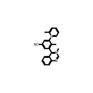 Cc1c(-c2c3ccccc3nc[n+]2C)cc(C#N)cc1-[n+]1ccccc1C